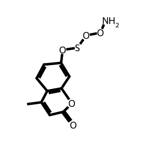 Cc1cc(=O)oc2cc(OSOON)ccc12